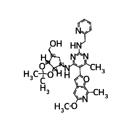 COc1cc2cc(-c3c(C)nc(NCc4ccccn4)nc3N[C@@H]3C[C@H](CO)[C@H]4OC(C)(C)O[C@H]43)oc2c(C)n1